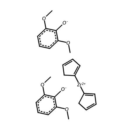 C1=CC[C]([Zr+2][C]2=CC=CC2)=C1.COc1cccc(OC)c1[O-].COc1cccc(OC)c1[O-]